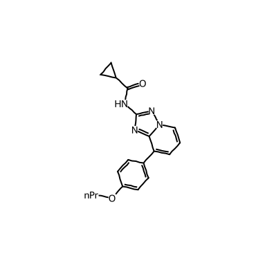 CCCOc1ccc(-c2cccn3nc(NC(=O)C4CC4)nc23)cc1